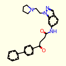 O=C(CCC(=O)c1ccc(-c2ccccc2)cc1)Nc1ccc2cnn(CCN3CCCC3)c2c1